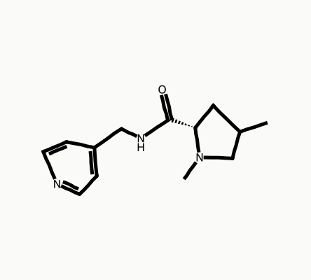 CC1C[C@@H](C(=O)NCc2ccncc2)N(C)C1